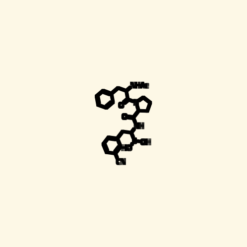 CC(=O)NC(Cc1ccccc1)C(=O)N1CCCC1C(=O)NC(Cc1cccc(C#N)c1)B(O)O